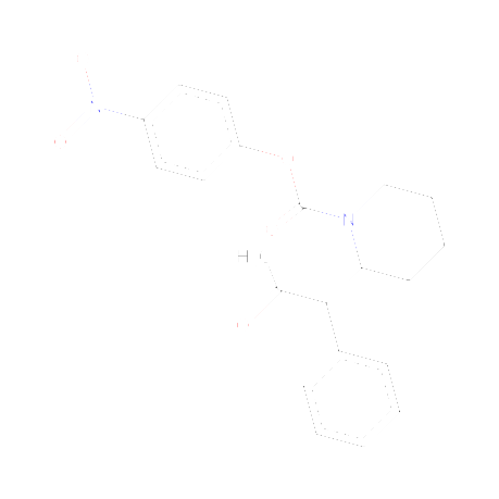 CC(=O)C(c1ccccc1)C1CCCCN1C(=O)Oc1ccc([N+](=O)[O-])cc1